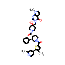 Cc1cc(-c2sc(C(=O)N3CC[C@@H](C(=O)N4CCC(O)(Cn5cnc6c(ccn6C)c5=O)CC4)[C@H](c4ccccc4)C3)cc2C)ccn1